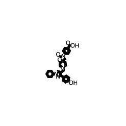 O=C(O)c1ccc(N2CC3(CCN(Cc4cn(C5CCCCC5)nc4-c4ccc(O)cc4)CC3)OC2=O)cc1